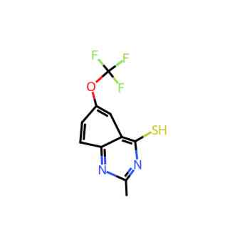 Cc1nc(S)c2cc(OC(F)(F)F)ccc2n1